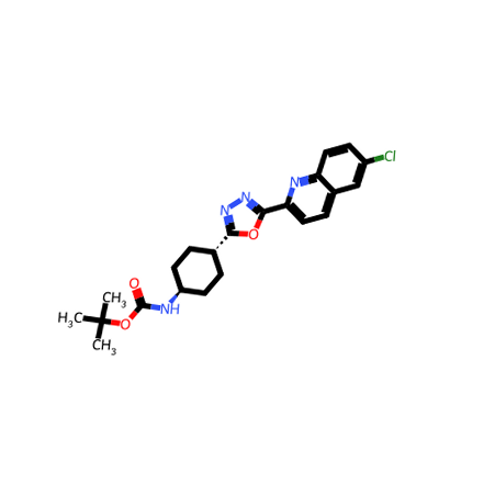 CC(C)(C)OC(=O)N[C@H]1CC[C@H](c2nnc(-c3ccc4cc(Cl)ccc4n3)o2)CC1